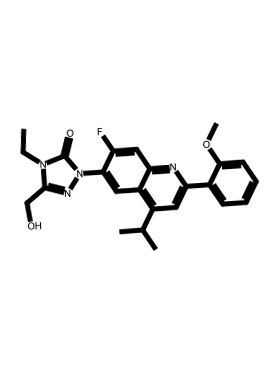 CCn1c(CO)nn(-c2cc3c(C(C)C)cc(-c4ccccc4OC)nc3cc2F)c1=O